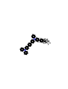 C[Si](C)(C)c1ccc(-c2ccc(N(c3ccccc3)c3ccc(-c4ccc(-c5ccc(N(c6ccccc6)c6ccccc6)cc5)cc4)cc3)cc2)cc1